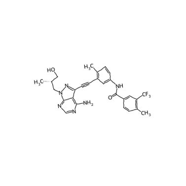 Cc1ccc(NC(=O)c2ccc(C)c(C(F)(F)F)c2)cc1C#Cc1nn(C[C@H](C)CO)c2ncnc(N)c12